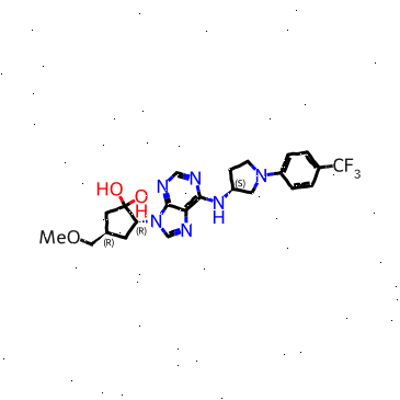 COC[C@@H]1C[C@@H](n2cnc3c(N[C@H]4CCN(c5ccc(C(F)(F)F)cc5)C4)ncnc32)C(O)(O)C1